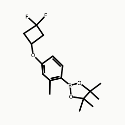 Cc1cc(OC2CC(F)(F)C2)ccc1B1OC(C)(C)C(C)(C)O1